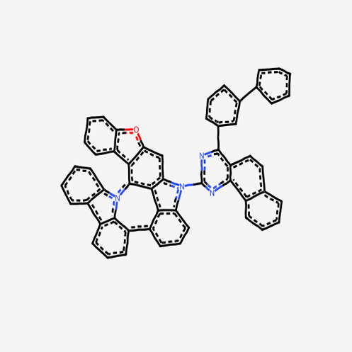 c1ccc(-c2cccc(-c3nc(-n4c5cccc6c7cccc8c9ccccc9n(c78)c7c8c(cc4c7c65)oc4ccccc48)nc4c3ccc3ccccc34)c2)cc1